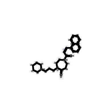 O=C(/C=C\c1cccc2ccccc12)N1CCC(=O)N(CCCN2CCCCC2)CC1